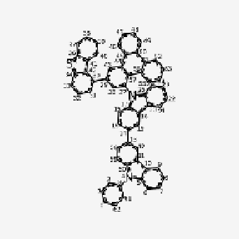 c1ccc(-n2c3ccccc3c3cc(-c4ccc5c(c4)c4ccccc4n5-c4cc(-c5cccc6sc7ccccc7c56)cc5c6ccccc6c6ccccc6c45)ccc32)cc1